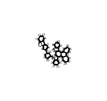 c1cc(-c2ccc3c(c2)oc2ccccc23)cc(-n2c3ccccc3c3c4c5ccccc5c5ccccc5c4c4c5ccccc5sc4c32)c1